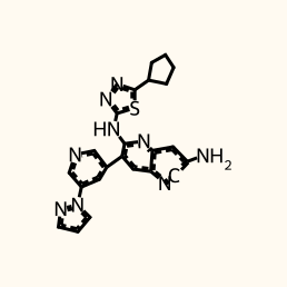 Nc1cnc2cc(-c3cncc(-n4cccn4)c3)c(Nc3nnc(C4CCCC4)s3)nc2c1